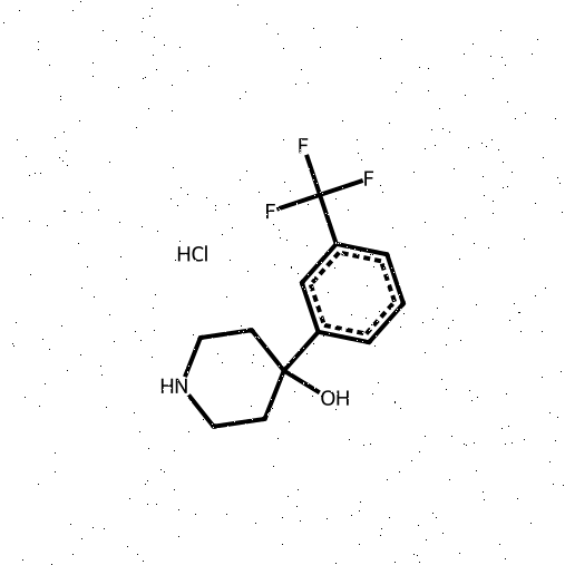 Cl.OC1(c2cccc(C(F)(F)F)c2)CCNCC1